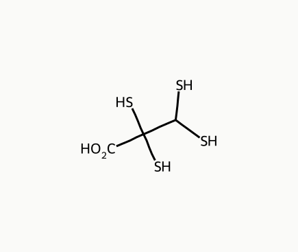 O=C(O)C(S)(S)C(S)S